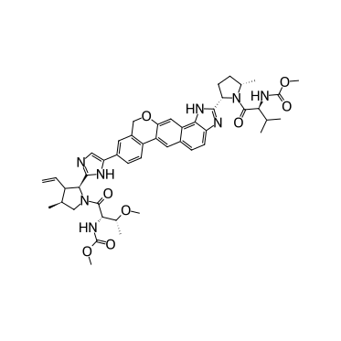 C=CC1[C@H](C)CN(C(=O)[C@@H](NC(=O)OC)[C@@H](C)OC)[C@@H]1c1ncc(-c2ccc3c(c2)COc2cc4c(ccc5nc([C@@H]6CC[C@H](C)N6C(=O)[C@@H](NC(=O)OC)C(C)C)[nH]c54)cc2-3)[nH]1